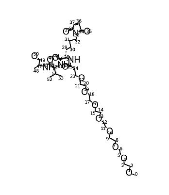 COCCOCCOCCOCCOCCOCCOCCOCCC(=O)N[C@@H](CCCCN1C(=O)C=CC1=O)C(=O)NC(C(=O)N[C@@H](C)C=O)C(C)C